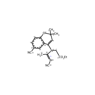 CCOC(=O)CN(C1=CC(C)(C)Oc2ccc(C#N)cc21)/C(C)=N/C#N